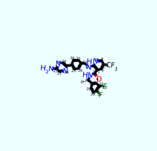 C[C@H](NC(=O)c1cc(C(F)(F)F)cnc1NCc1ccc(-c2cnc(N)cn2)cc1)c1ccc(F)c(F)c1